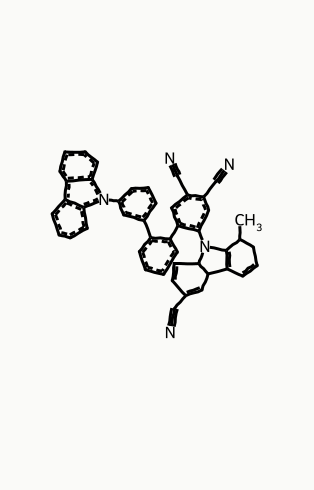 CC1CC=CC2=C1N(c1cc(C#N)c(C#N)cc1-c1ccccc1-c1cccc(-n3c4ccccc4c4ccccc43)c1)C1C=CC(C#N)=CC21